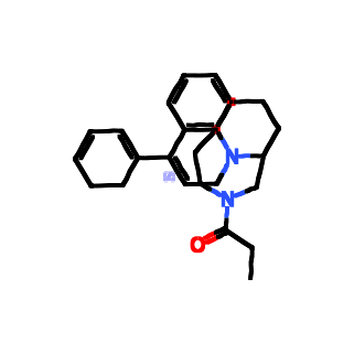 CCC(=O)N1CCC2CCCC(C1)N2C/C=C(/C1=CC=CCC1)c1ccccc1